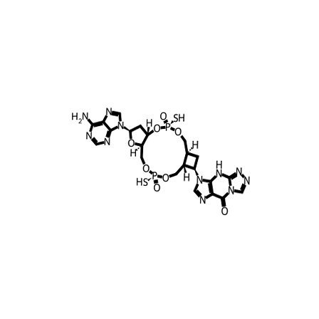 Nc1ncnc2c1ncn2[C@H]1C[C@@H]2O[P@@](=O)(S)OC[C@H]3C[C@@H](n4cnc5c(=O)n6cnnc6[nH]c54)[C@@H]3CO[P@](=O)(S)OC[C@H]2O1